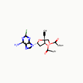 C#C[C@]1(COC(=O)CCCCCCCCC)O[C@@H](n2cnc3c(N)nc(F)nc32)C[C@@H]1OC(=O)CCC